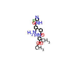 CCCOC(=O)c1ccc(NC(=O)c2cccc(-c3cc(C(=O)Nc4ccncc4F)ccc3CN)c2)cc1C